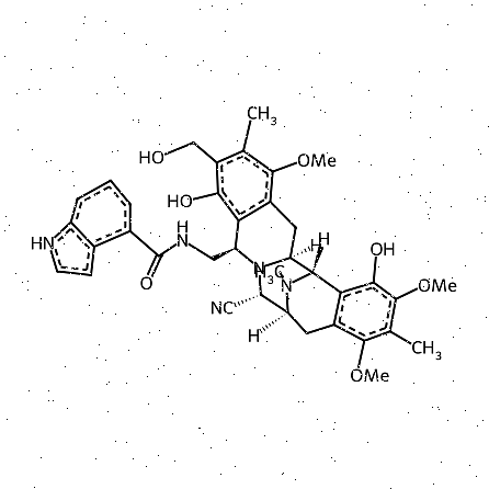 COc1c(C)c(OC)c2c(c1O)[C@H]1[C@@H]3Cc4c(OC)c(C)c(CO)c(O)c4[C@H](CNC(=O)c4cccc5[nH]ccc45)N3[C@@H](C#N)[C@H](C2)N1C